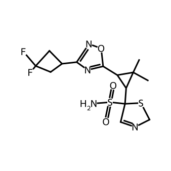 CC1(C)C(c2nc(C3CC(F)(F)C3)no2)C1C1(S(N)(=O)=O)C=NCS1